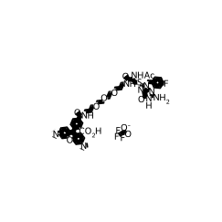 CC(=O)NC(CSc1nc2c(=O)[nH]c(N)nc2n1Cc1ccc(F)cc1)C(=O)NCCCOCCOCCOCCCNC(=O)c1ccc(-c2c3ccc(=[N+](C)C)cc-3oc3cc(N(C)C)ccc23)c(C(=O)O)c1.O=C([O-])C(F)(F)F